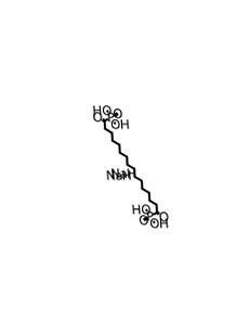 O=C(CCCCCCCCCCCCCCC(=O)P(=O)(O)O)P(=O)(O)O.[NaH].[NaH]